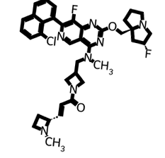 CN(CC1CN(C(=O)/C=C/[C@H]2CCN2C)C1)c1nc(OC[C@@]23CCCN2C[C@H](F)C3)nc2c(F)c(-c3cccc4cccc(Cl)c34)ncc12